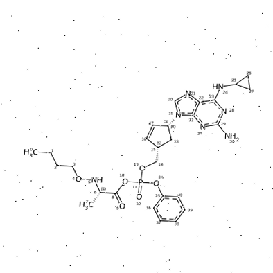 CCCCON[C@@H](C)C(=O)OP(=O)(OC[C@@H]1C=C[C@H](n2cnc3c(NC4CC4)nc(N)nc32)C1)Oc1ccccc1